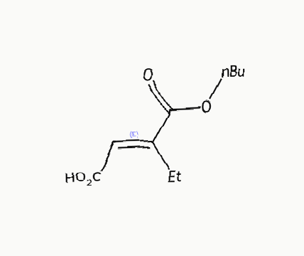 CCCCOC(=O)/C(=C/C(=O)O)CC